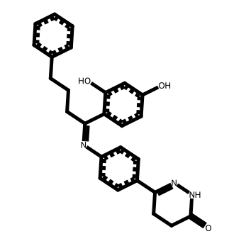 O=C1CCC(c2ccc(N=C(CCCc3ccccc3)c3ccc(O)cc3O)cc2)=NN1